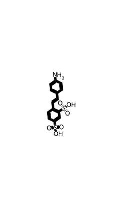 Nc1ccc(C=Cc2ccc(S(=O)(=O)O)cc2S(=O)(=O)O)cc1